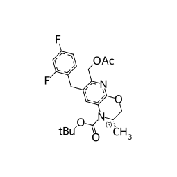 CC(=O)OCc1nc2c(cc1Cc1ccc(F)cc1F)N(C(=O)OC(C)(C)C)[C@@H](C)CO2